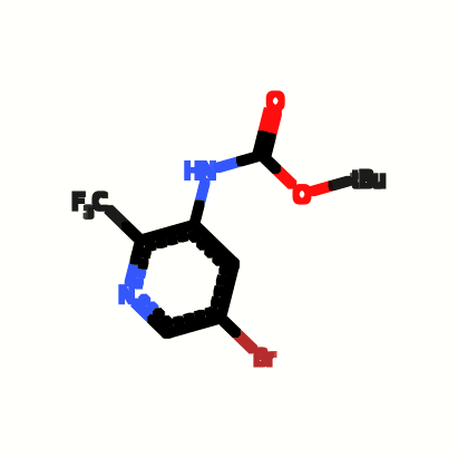 CC(C)(C)OC(=O)Nc1cc(Br)cnc1C(F)(F)F